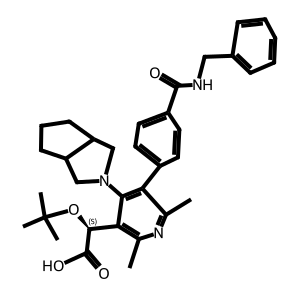 Cc1nc(C)c([C@H](OC(C)(C)C)C(=O)O)c(N2CC3CCCC3C2)c1-c1ccc(C(=O)NCc2ccccc2)cc1